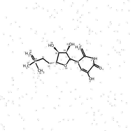 C=C1NC(=O)C(O)=CN1C1O[C@H](CCP(=C)(C)C)[C@@H](O)[C@H]1O